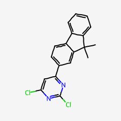 CC1(C)c2ccccc2-c2ccc(-c3cc(Cl)nc(Cl)n3)cc21